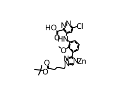 COc1c(Nc2cc(Cl)nnc2C(=O)O)cccc1-c1ncn(CCCC(=O)OC(C)(C)C)n1.[Zn]